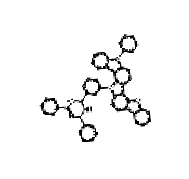 c1ccc(C2=NC(c3ccccc3)NC(c3cccc(-n4c5ccc6c7ccccc7oc6c5c5ccc6c(c7ccccc7n6-c6ccccc6)c54)c3)N2)cc1